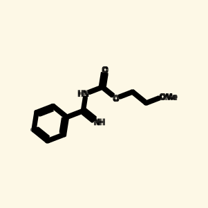 COCCOC(=O)NC(=N)c1cc[c]cc1